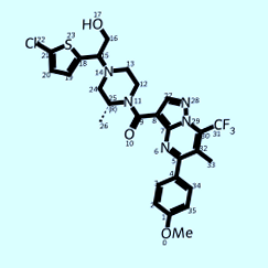 COc1ccc(-c2nc3c(C(=O)N4CCN(C(CO)c5ccc(Cl)s5)C[C@H]4C)cnn3c(C(F)(F)F)c2C)cc1